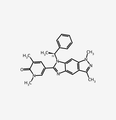 Cc1cc(-c2nc3cc4c(C)nn(C)c4cc3n2[C@@H](C)c2ccccc2)cn(C)c1=O